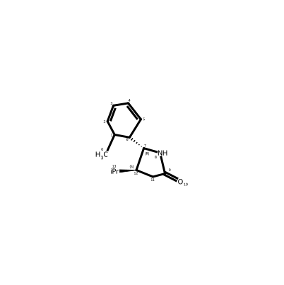 CC1C=CC=CC1[C@@H]1NC(=O)C[C@H]1C(C)C